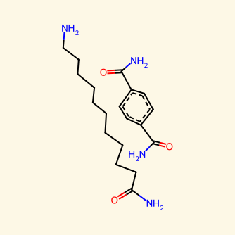 NC(=O)c1ccc(C(N)=O)cc1.NCCCCCCCCCCC(N)=O